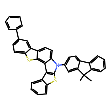 CC1(C)c2ccccc2-c2ccc(-n3c4ccc5c6cc(-c7ccccc7)ccc6sc5c4c4c5ccccc5sc43)cc21